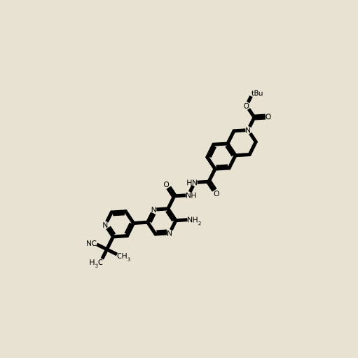 CC(C)(C)OC(=O)N1CCc2cc(C(=O)NNC(=O)c3nc(-c4ccnc(C(C)(C)C#N)c4)cnc3N)ccc2C1